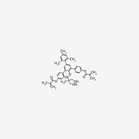 C=C(C)C(=O)Oc1ccc(-c2cc(-c3c(C)cc(C)cc3C)cc(-c3ccc(OC(=O)C(=C)C)cc3)c2OC(=O)C(C)(CO)CO)cc1